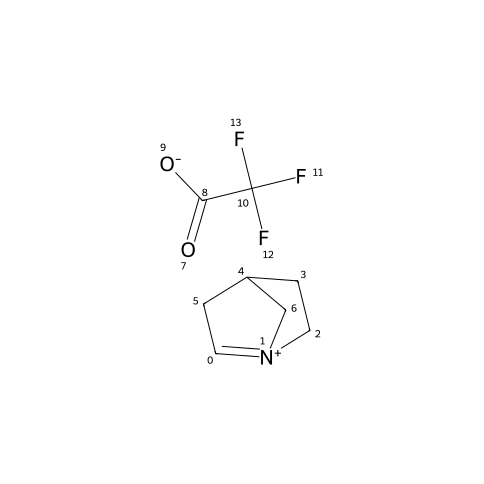 C1=[N+]2CCC(C1)C2.O=C([O-])C(F)(F)F